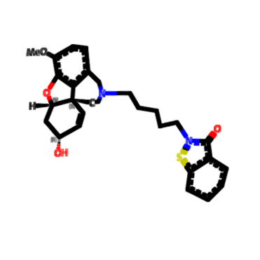 COc1ccc2c3c1O[C@H]1C[C@@H](O)C=C[C@@]31CCN(CCCCCn1sc3ccccc3c1=O)C2